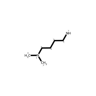 CN(C)CCCC[NH]